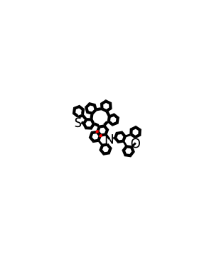 c1ccc(-c2ccccc2N(c2ccc3c(c2)-c2ccccc2Oc2ccccc2-3)c2ccc3c(c2)c2ccccc2c2ccccc2c2ccccc2c2c3ccc3sc4ccccc4c32)cc1